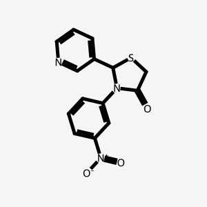 O=C1CSC(c2cccnc2)N1c1cccc([N+](=O)[O-])c1